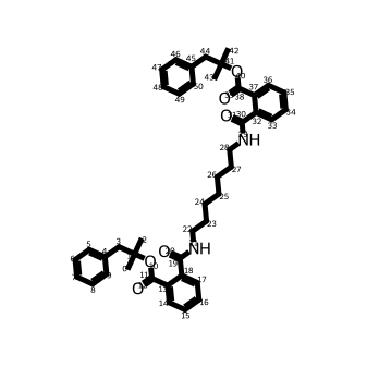 CC(C)(Cc1ccccc1)OC(=O)c1ccccc1C(=O)NCCCCCCCNC(=O)c1ccccc1C(=O)OC(C)(C)Cc1ccccc1